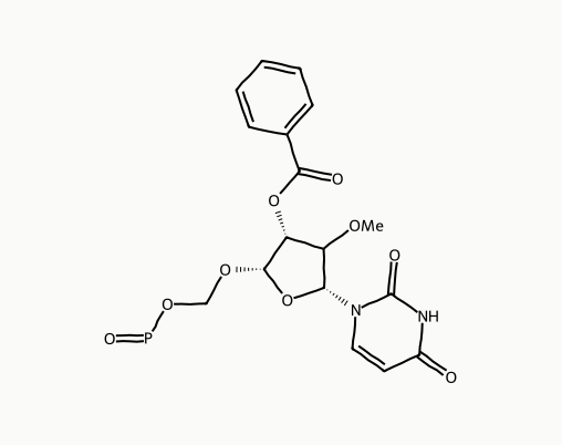 COC1[C@@H](OC(=O)c2ccccc2)[C@@H](OCOP=O)O[C@H]1n1ccc(=O)[nH]c1=O